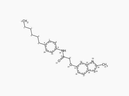 CCCCCCc1ccc(NC(=O)COc2ccc3sc(C)nc3c2)cc1